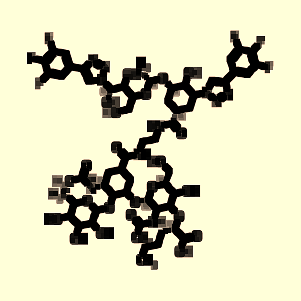 CCCC[C@H](OC1C(NC(C)=O)[C@H](OC2CC(C(=O)NCCNC(=O)[C@H]3CC(n4cc(-c5cc(F)c(F)c(F)c5)nn4)C(O)[C@H](O[C@@H](C)OC(CO)C(O)[C@H](O)n4cc(-c5cc(F)c(F)c(F)c5)nn4)C3)C[C@@H](NC(C)=O)C2OC2OC(C)C(O)C(O)C2O)O[C@@H](CO)C1O)C(=O)O